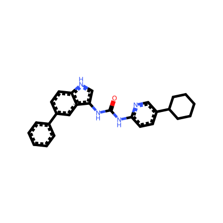 O=C(Nc1ccc(C2CCCCC2)cn1)Nc1c[nH]c2ccc(-c3ccccc3)cc12